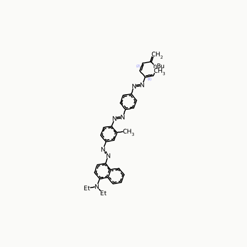 C=C(/C=C\C(=C/C)N=Nc1ccc(N=Nc2ccc(N=Nc3ccc(N(CC)CC)c4ccccc34)cc2C)cc1)CCCC